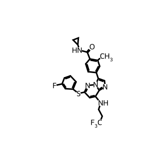 Cc1cc(-c2cnc3c(NCCC(F)(F)F)cc(Sc4cccc(F)c4)nn23)ccc1C(=O)NC1CC1